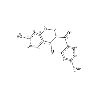 COc1ccc(C(=O)C2COc3cc(O)ccc3C2Cl)cc1